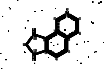 c1cc2ccc3c(c2cn1)NCN3